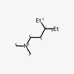 CCC(CC)CCN(C)C